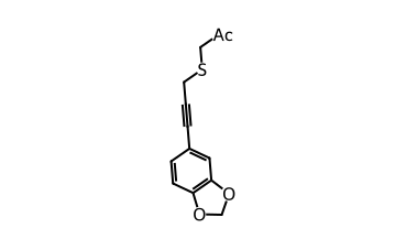 CC(=O)CSCC#Cc1ccc2c(c1)OCO2